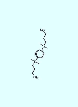 C[Si](C)(CCCO)c1ccc([Si](C)(C)CCCO)cc1